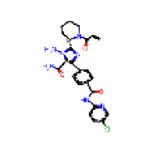 C=CC(=O)N1CCCC[C@H]1c1nc(-c2ccc(C(=O)Nc3ccc(Cl)cn3)cc2)c(C(N)=O)n1N